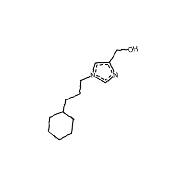 OCc1cn(CCCC2CCCCC2)cn1